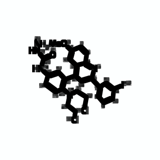 COc1ccc2nc(-c3cccc(F)c3)cc(-c3cc(NC(=O)NN)ccc3N(CCCl)CCCl)c2c1